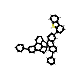 C1=Cc2c3c4c(c5cc(-c6ccccc6)ccc25)C=CCC4C2(c4ccc(-c5cccc6c5sc5ccccc56)cc4-c4ccc(-c5ccccc5)cc42)C3C1